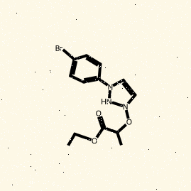 CCOC(=O)C(C)ON1C=CN(c2ccc(Br)cc2)N1